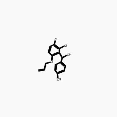 C=CCOc1ccc(Cl)c(Cl)c1C(O)c1ccc(C#N)cc1